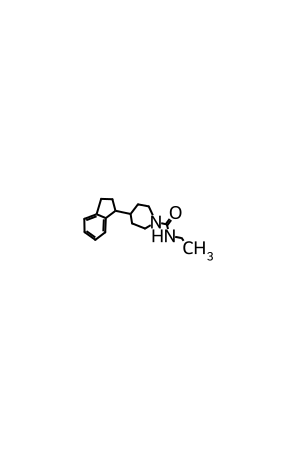 CCNC(=O)N1CCC(C2CCc3ccccc32)CC1